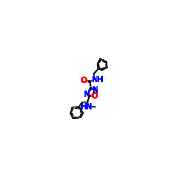 CNC(Cc1ccccc1)c1nc(C(=O)NCc2ccccc2)no1